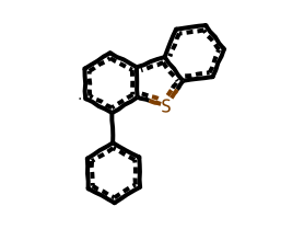 [c]1ccc2c(sc3ccccc32)c1-c1ccccc1